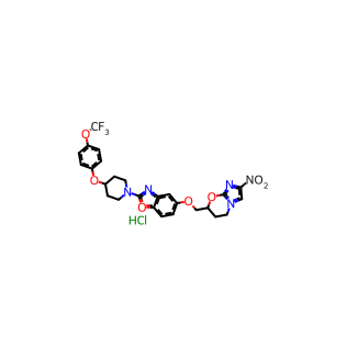 Cl.O=[N+]([O-])c1cn2c(n1)OC(COc1ccc3oc(N4CCC(Oc5ccc(OC(F)(F)F)cc5)CC4)nc3c1)CC2